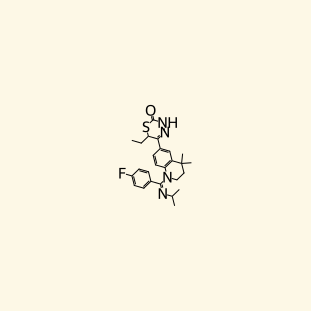 CCC1SC(=O)NN=C1c1ccc2c(c1)C(C)(C)CCN2/C(=N\C(C)C)c1ccc(F)cc1